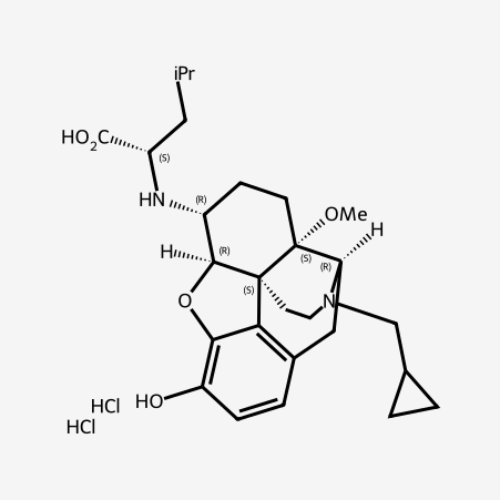 CO[C@@]12CC[C@@H](N[C@@H](CC(C)C)C(=O)O)[C@@H]3Oc4c(O)ccc5c4[C@@]31CCN(CC1CC1)[C@@H]2C5.Cl.Cl